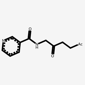 CC(=O)CCC(=O)CNC(=O)c1cccnc1